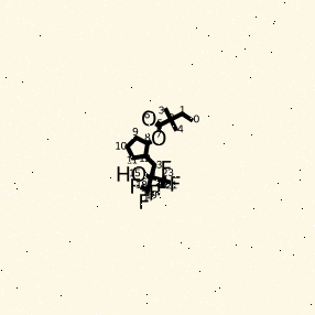 CCC(C)(C)C(=O)OC1CCCC1CC(O)(C(F)(F)F)C(F)(F)F